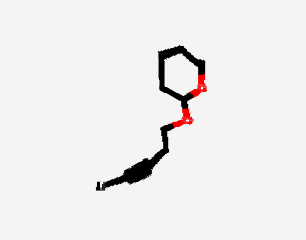 [Li][C]#CCCOC1CCCCO1